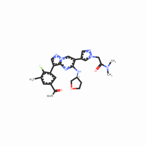 CNC(=O)c1cc(C)c(F)c(-c2cnn3cc(-c4cnn(CC(=O)N(C)C)c4)c(N[C@H]4CCOC4)nc23)c1